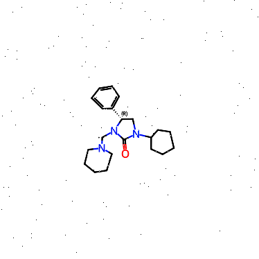 O=C1N(C2CCCCC2)C[C@@H](c2ccccc2)N1[CH]N1CCCCC1